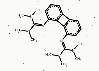 CN(C)C(=Nc1cccc2c1-c1c(N=C(N(C)C)N(C)C)cccc1-2)N(C)C